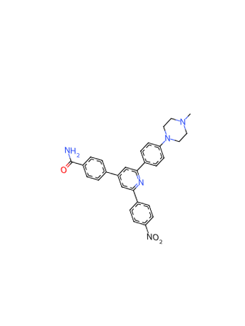 CN1CCN(c2ccc(-c3cc(-c4ccc(C(N)=O)cc4)cc(-c4ccc([N+](=O)[O-])cc4)n3)cc2)CC1